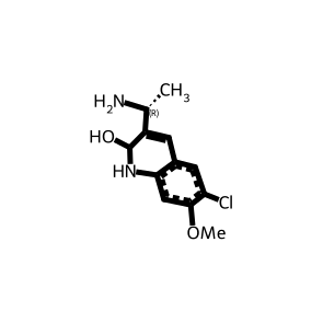 COc1cc2c(cc1Cl)C=C([C@@H](C)N)C(O)N2